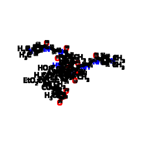 CCCCNC(=O)C(C(CCC(C)(C)C(C(=O)OCC)C(CCC(C)(C)CC1C(=O)OC(=O)C1C)C(=O)O)C(=O)O)C(C)(C)CCC1C(=O)N(CCCC)C(=O)C1CC(C)(C)CCC1C(=O)N(CCCNC(=O)c2ccc(N(C)C)cc2)C(=O)C1CC(C)(C)CCC(C(=O)O)C(C(=O)NCCCNC(=O)c1ccc(N(C)C)cc1)C(C)(C)CC